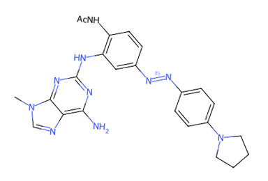 CC(=O)Nc1ccc(/N=N/c2ccc(N3CCCC3)cc2)cc1Nc1nc(N)c2ncn(C)c2n1